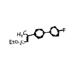 CCOC(=O)C=C(C)c1ccc(-c2ccc(F)cc2)cc1